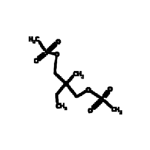 CCC(C)(COS(C)(=O)=O)COS(C)(=O)=O